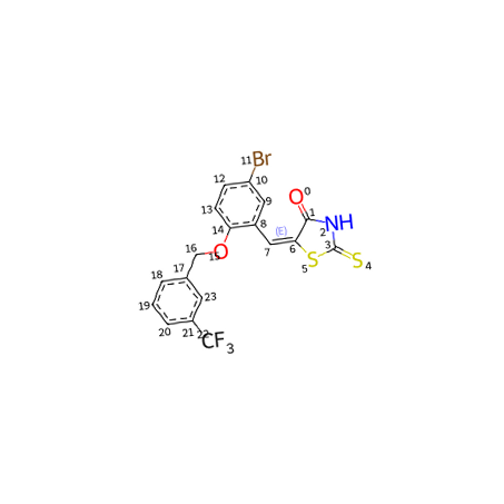 O=C1NC(=S)S/C1=C/c1cc(Br)ccc1OCc1cccc(C(F)(F)F)c1